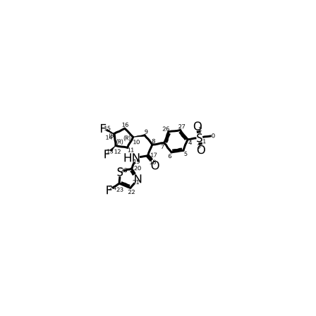 CS(=O)(=O)c1ccc(C(C[C@H]2C[C@@H](F)[C@@H](F)C2)C(=O)Nc2ncc(F)s2)cc1